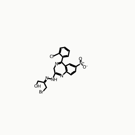 O=[N+]([O-])c1ccc2c(c1)C(c1ccccc1Cl)=NCC(NN=C(CO)CBr)=N2